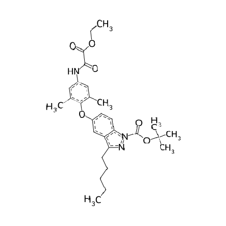 CCCCCc1nn(C(=O)OC(C)(C)C)c2ccc(Oc3c(C)cc(NC(=O)C(=O)OCC)cc3C)cc12